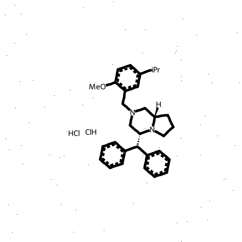 COc1ccc(C(C)C)cc1CN1C[C@@H]2CCCN2[C@H](C(c2ccccc2)c2ccccc2)C1.Cl.Cl